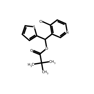 CC(C)(C)C(=O)OC(c1cccs1)c1cnccc1Cl